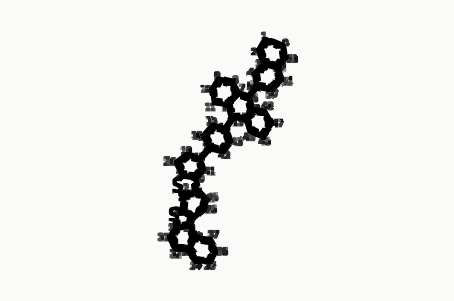 c1ccc2cc(-c3c4ccccc4c(-c4ccc(-c5ccc6sc7c(ccc8c7sc7ccc9ccccc9c78)c6c5)cc4)c4ccccc34)ccc2c1